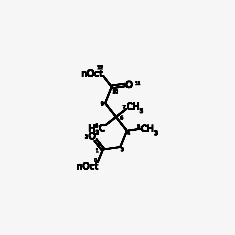 CCCCCCCCC(=O)CC(C)C(C)(C)CC(=O)CCCCCCCC